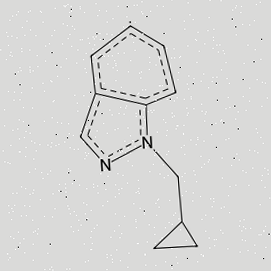 [c]1ccc2c(c1)cnn2CC1CC1